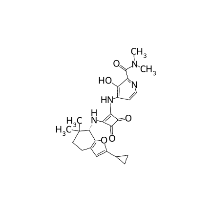 CN(C)C(=O)c1nccc(Nc2c(N[C@@H]3c4oc(C5CC5)cc4CCC3(C)C)c(=O)c2=O)c1O